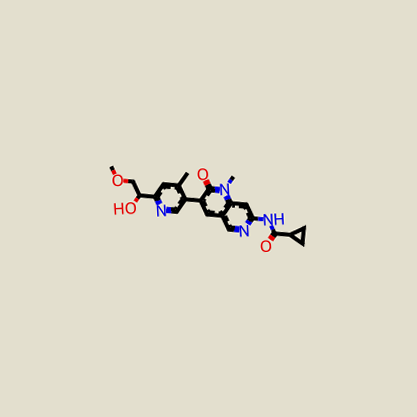 COCC(O)c1cc(C)c(-c2cc3cnc(NC(=O)C4CC4)cc3n(C)c2=O)cn1